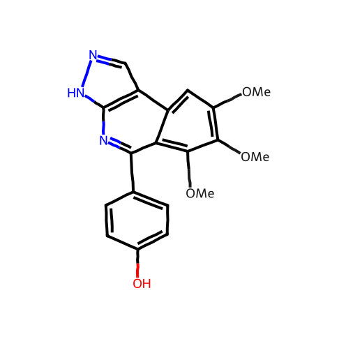 COc1cc2c(c(-c3ccc(O)cc3)nc3[nH]ncc32)c(OC)c1OC